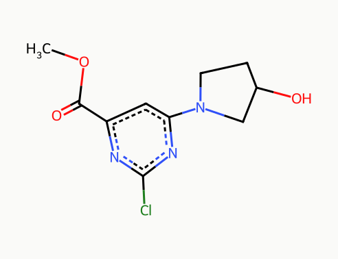 COC(=O)c1cc(N2CCC(O)C2)nc(Cl)n1